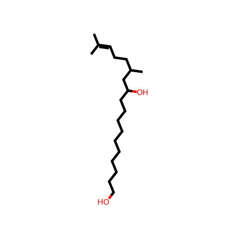 CC(C)=CCCC(C)CC(O)CCCCCCCCCCO